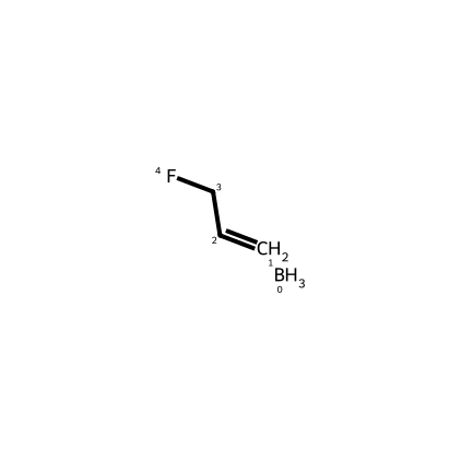 B.C=CCF